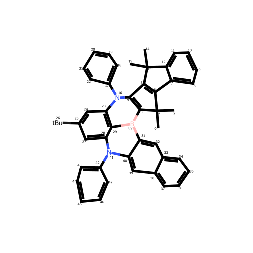 CC1(C)C2=C(C3=C1c1ccccc1C3(C)C)N(c1ccccc1)c1cc(C(C)(C)C)cc3c1B2c1cc2ccccc2cc1N3c1ccccc1